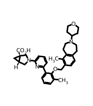 Cc1cccc(-c2cccc(N3C[C@@H]4C[C@]4(C(=O)O)C3)n2)c1OCc1ccc2c(c1C)CCN(C1CCOCC1)CC2